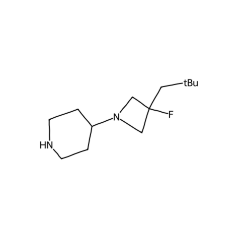 CC(C)(C)CC1(F)CN(C2CCNCC2)C1